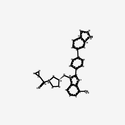 Cc1cccc2c1nc(-c1ccc(-c3ccc4cn[nH]c4c3)cc1)n2C[C@@H]1CCN(C(=O)C2CC2)C1